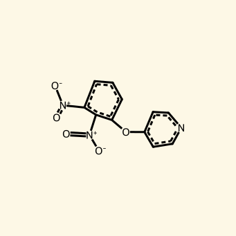 O=[N+]([O-])c1cccc(Oc2ccncc2)c1[N+](=O)[O-]